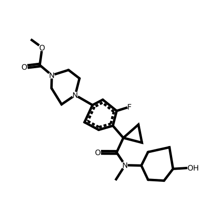 COC(=O)N1CCN(c2ccc(C3(C(=O)N(C)C4CCC(O)CC4)CC3)c(F)c2)CC1